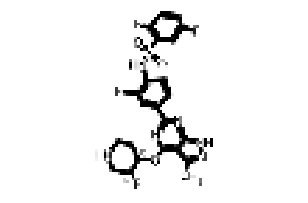 Cc1n[nH]c2nc(-c3ccc(NS(=O)(=O)c4cc(F)ccc4F)c(F)c3)nc(O[C@@H]3CCNC[C@@H]3F)c12